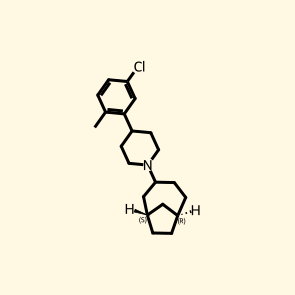 Cc1ccc(Cl)cc1C1CCN(C2CC[C@H]3CC[C@H](C2)C3)CC1